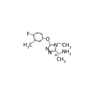 CCn1c(Oc2ccc(F)c(C)c2)nnc1[C@@H](C)N